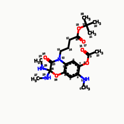 CNc1cc2c(cc1OC(C)=O)N(CCCC(=O)OC(C)(C)C)C(=O)C(NC)(NC)O2